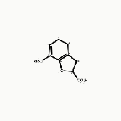 COC1=CCCC2=C1OC(C(=O)O)C2